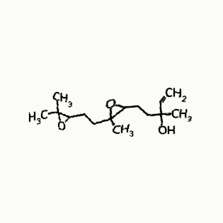 C=CC(C)(O)CCC1OC1(C)CCC1OC1(C)C